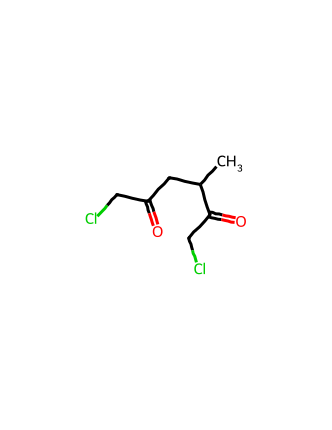 CC(CC(=O)CCl)C(=O)CCl